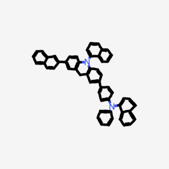 c1ccc(N(c2ccc(-c3ccc4c(c3)Cc3cc(-c5ccc6ccccc6c5)ccc3N4c3cccc4ccccc34)cc2)c2cccc3ccccc23)cc1